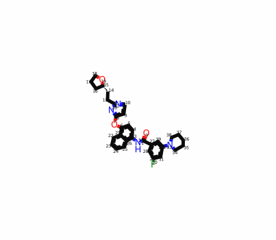 O=C(Nc1ccc(Oc2ccnc(CC[C@@H]3CCCO3)n2)c2ccccc12)c1cc(F)cc(N2CCCCC2)c1